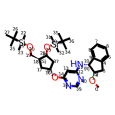 CO[C@H]1Cc2ccccc2[C@H]1Nc1cc(O[C@@H]2C[C@@H](CO[Si](C)(C)C(C)(C)C)[C@@H](O[Si](C)(C)C(C)(C)C)C2)ncn1